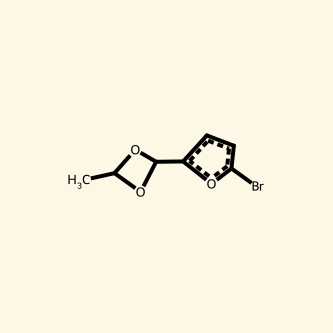 CC1OC(c2ccc(Br)o2)O1